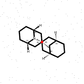 C[C@H]1C[C@H]2CCC[C@@H](C1)N2[C@H]1C[C@@H]2CCC[C@@H](C2)C1